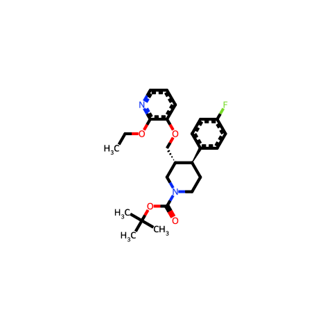 CCOc1ncccc1OC[C@H]1CN(C(=O)OC(C)(C)C)CC[C@@H]1c1ccc(F)cc1